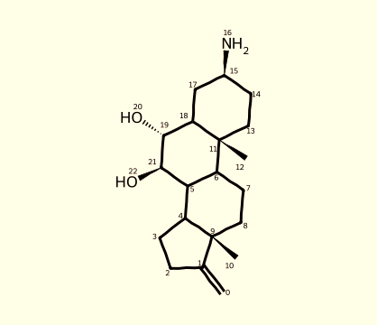 C=C1CCC2C3C(CC[C@]12C)[C@@]1(C)CC[C@H](N)CC1[C@@H](O)[C@@H]3O